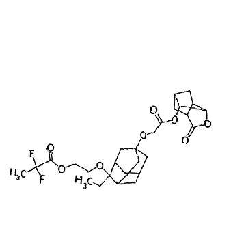 CCC1(OCCOC(=O)C(C)(F)F)C2CC3CC1CC(OCC(=O)OC1C4CC5C(=O)OC1C5C4)(C3)C2